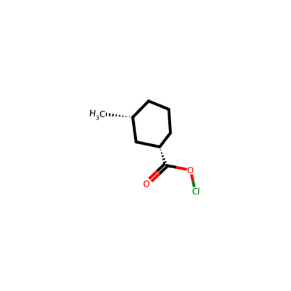 C[C@@H]1CCC[C@H](C(=O)OCl)C1